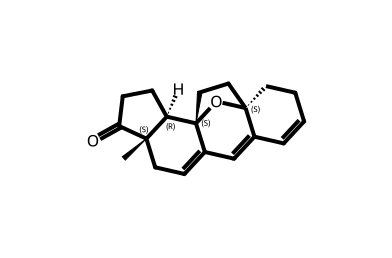 C[C@]12CC=C3C=C4C=CCC[C@]45CC[C@]3(O5)[C@@H]1CCC2=O